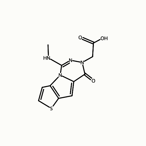 CNc1nn(CC(=O)O)c(=O)c2cc3sccc3n12